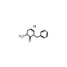 CN1CC=CN(Cc2ccccc2)C1=O.I